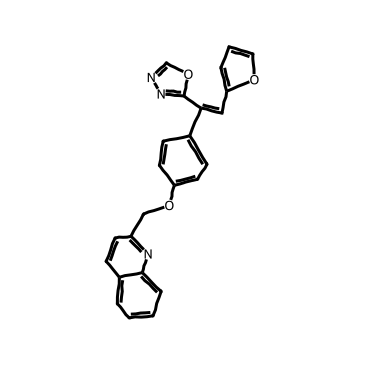 C(=C(\c1ccc(OCc2ccc3ccccc3n2)cc1)c1nnco1)/c1ccco1